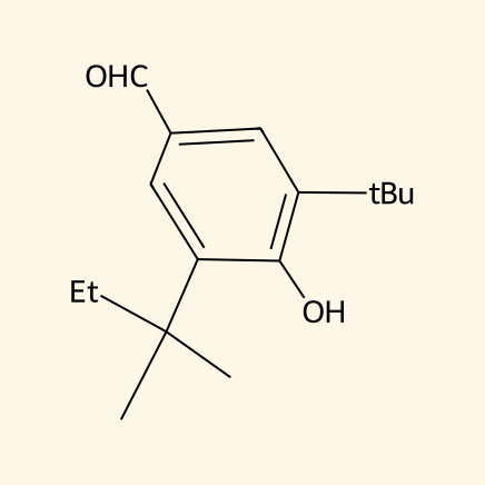 CCC(C)(C)c1cc(C=O)cc(C(C)(C)C)c1O